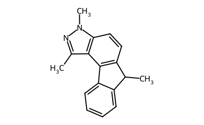 Cc1nn(C)c2ccc3c(c12)-c1ccccc1C3C